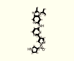 Cc1nc2cnc(Nc3ccnc(-c4cnn([S+]([O-])C5CCNC5)c4)n3)cc2n1C(C)C